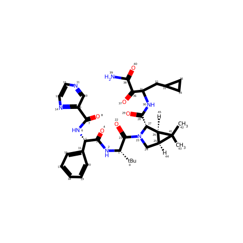 CC(C)(C)[C@H](NC(=O)[C@@H](NC(=O)c1cnccn1)c1ccccc1)C(=O)N1C[C@H]2[C@@H]([C@H]1C(=O)NC(CC1CC1)C(=O)C(N)=O)C2(C)C